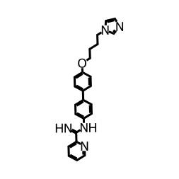 N=C(Nc1ccc(-c2ccc(OCCCCn3ccnc3)cc2)cc1)c1ccccn1